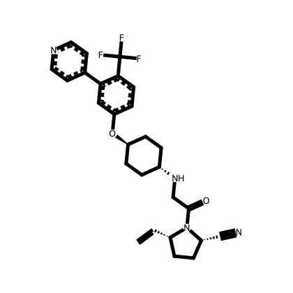 C=C[C@H]1CC[C@@H](C#N)N1C(=O)CN[C@H]1CC[C@H](Oc2ccc(C(F)(F)F)c(-c3ccncc3)c2)CC1